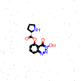 O=C(Oc1cccc2nnn(O)c(=O)c12)[C@@H]1CCCN1